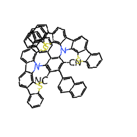 N#Cc1c(-c2ccc3ccccc3c2)c(C#N)c(-n2c3c(ccc4c5ccccc5sc43)c3ccc4c5ccccc5sc4c32)c(-c2ccc3ccccc3c2)c1-n1c2c(ccc3c4ccccc4sc32)c2ccc3c4ccccc4sc3c21